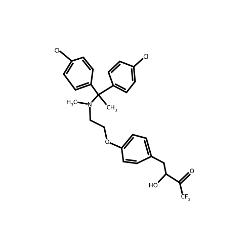 CN(CCOc1ccc(CC(O)C(=O)C(F)(F)F)cc1)C(C)(c1ccc(Cl)cc1)c1ccc(Cl)cc1